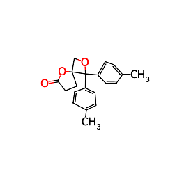 Cc1ccc(C2(c3ccc(C)cc3)OCC23CCC(=O)O3)cc1